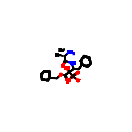 CC(C)[C@H](N)C(=O)NC(Cc1ccccc1)C(O)(C(=O)OCc1ccccc1)S(=O)(=O)[O-].[Na+]